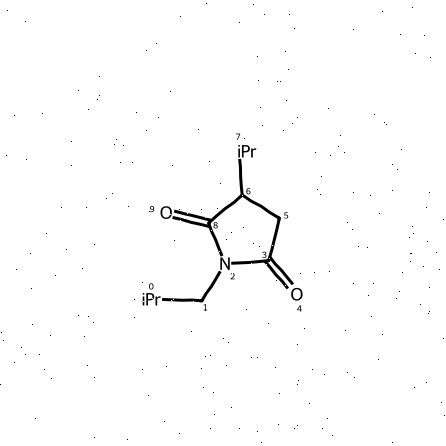 CC(C)CN1C(=O)CC(C(C)C)C1=O